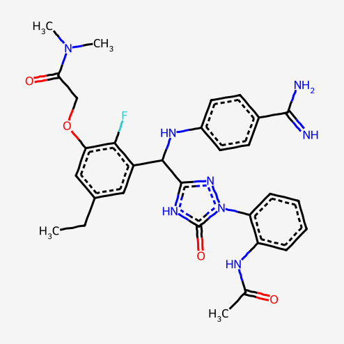 CCc1cc(OCC(=O)N(C)C)c(F)c(C(Nc2ccc(C(=N)N)cc2)c2nn(-c3ccccc3NC(C)=O)c(=O)[nH]2)c1